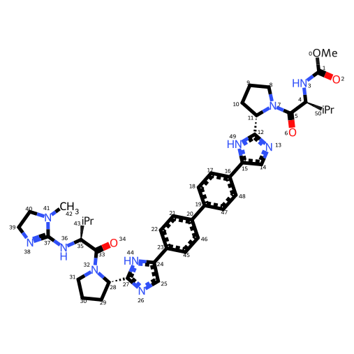 COC(=O)N[C@H](C(=O)N1CCC[C@H]1c1ncc(-c2ccc(-c3ccc(-c4cnc([C@@H]5CCCN5C(=O)[C@@H](NC5=NCCN5C)C(C)C)[nH]4)cc3)cc2)[nH]1)C(C)C